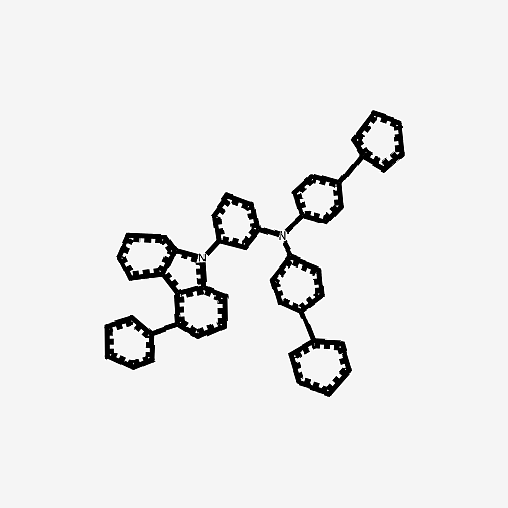 c1ccc(-c2ccc(N(c3ccc(-c4ccccc4)cc3)c3cccc(-n4c5ccccc5c5c(-c6ccccc6)cccc54)c3)cc2)cc1